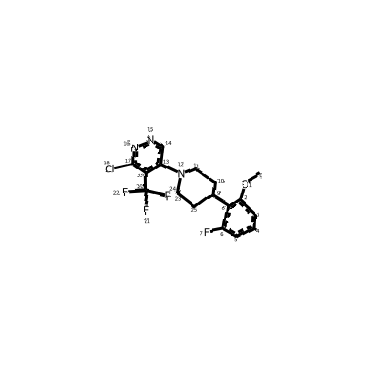 COc1cccc(F)c1C1CCN(c2cnnc(Cl)c2C(F)(F)F)CC1